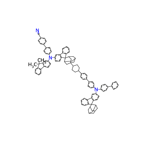 CC1(C)c2ccccc2-c2ccc(N(c3ccc(-c4ccc(C#N)cc4)cc3)c3ccc4c(c3)-c3ccccc3C43C4CC5CC3CC(C3CCC(c6ccc(-c7ccc(N(c8ccc(-c9ccccc9)cc8)c8ccc9c(c8)-c8ccccc8C98C9CC%10CC(C9)CC8C%10)cc7)cc6)CC3)(C5)C4)cc21